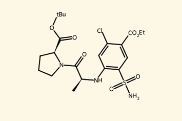 CCOC(=O)c1cc(S(N)(=O)=O)c(N[C@@H](C)C(=O)N2CCC[C@H]2C(=O)OC(C)(C)C)cc1Cl